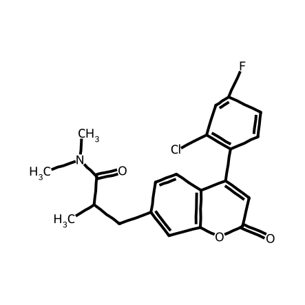 CC(Cc1ccc2c(-c3ccc(F)cc3Cl)cc(=O)oc2c1)C(=O)N(C)C